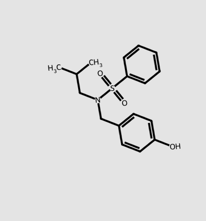 CC(C)CN(Cc1ccc(O)cc1)S(=O)(=O)c1ccccc1